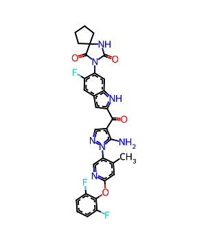 Cc1cc(Oc2c(F)cccc2F)ncc1-n1ncc(C(=O)c2cc3cc(F)c(N4C(=O)NC5(CCCC5)C4=O)cc3[nH]2)c1N